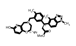 COC(=O)C[C@@H](c1ccc(C)c(CN2Cc3nc(O)ccc3O[C@@H](C(C)C)C2)c1)c1ccc2c(nnn2C)c1C